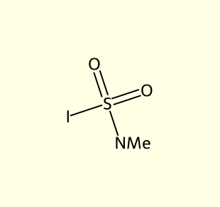 CNS(=O)(=O)I